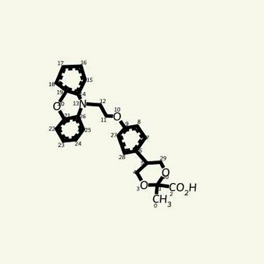 CC1(C(=O)O)OCC(c2ccc(OCCN3c4ccccc4Oc4ccccc43)cc2)CO1